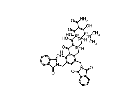 CN(C)[C@H]1C(O)=C(C(N)=O)C(=O)[C@@]2(O)C(O)=C3C(=O)c4c(O)c(CN5C(=O)c6ccccc6C5=O)cc(CN5C(=O)c6ccccc6C5=O)c4C[C@@H]3C[C@@H]12